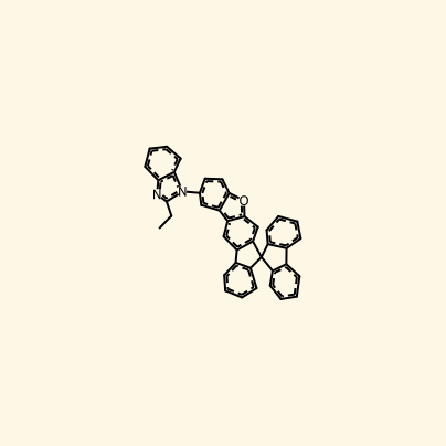 CCc1nc2ccccc2n1-c1ccc2oc3cc4c(cc3c2c1)-c1ccccc1C41c2ccccc2-c2ccccc21